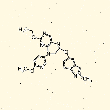 CCOc1ncc2c(n1)N(c1ccc(OC)nc1)CC(Oc1ccc3nn(C)cc3c1)=N2